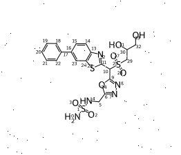 NS(=O)(=O)NCc1nnc(C(c2nc3ccc(-c4ccccc4)cc3s2)S(=O)(=O)CC(O)CO)o1